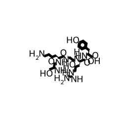 N=C(N)NCCC[C@H](NC(=O)CNC(=O)[C@H](CCCCN)NC(=O)[C@@H](N)CO)C(=O)N[C@@H](Cc1ccc(O)cc1)C(=O)O